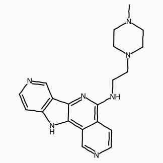 CN1CCN(CCNc2nc3c4cnccc4[nH]c3c3cnccc23)CC1